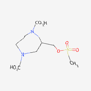 CS(=O)(=O)OCC1CN(C(=O)O)CCN1C(=O)O